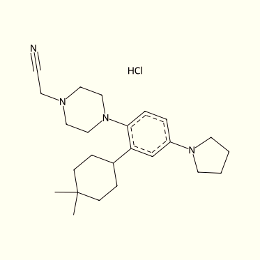 CC1(C)CCC(c2cc(N3CCCC3)ccc2N2CCN(CC#N)CC2)CC1.Cl